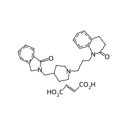 O=C(O)C=CC(=O)O.O=C1c2ccccc2CN1CC1CCN(CCCN2C(=O)CCc3ccccc32)CC1